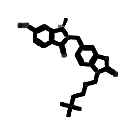 C[C@H]1c2cc(C=O)ccc2C(=O)N1Cc1ccc2c(c1)oc(=O)n2COCC[Si](C)(C)C